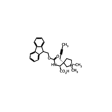 CC#CC[C@]1([C@H](NC(=O)OCC2c3ccccc3-c3ccccc32)C(=O)O)CC[N+](C)(C)C1